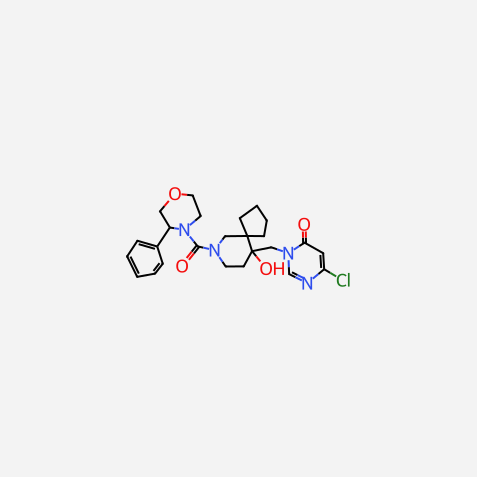 O=C(N1CCC(O)(Cn2cnc(Cl)cc2=O)C2(CCCC2)C1)N1CCOCC1c1ccccc1